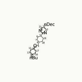 CCCCCCCCCCc1cnc(C2CCC(COc3ccc(CCCC)cc3)CC2)nc1